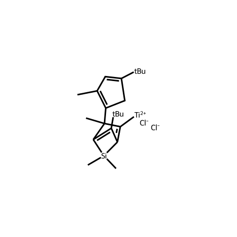 CC1=C(C2(C)[C]([Ti+2])=C3C(C(C)(C)C)=C2[Si]3(C)C)CC(C(C)(C)C)=C1.[Cl-].[Cl-]